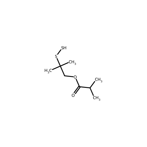 CC(C)C(=O)OCC(C)(C)SS